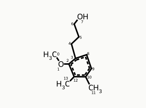 COc1c(CCCO)ccc(C)c1C